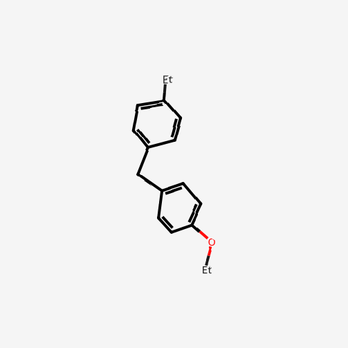 CCOc1ccc(Cc2ccc(CC)cc2)cc1